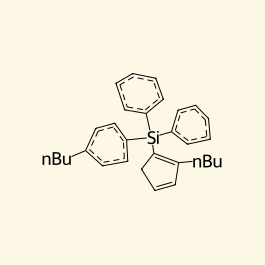 CCCCC1=C([Si](c2ccccc2)(c2ccccc2)c2ccc(CCCC)cc2)CC=C1